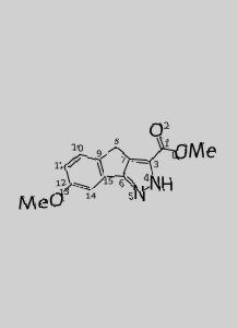 COC(=O)c1[nH]nc2c1Cc1ccc(OC)cc1-2